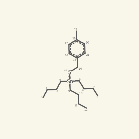 CCC[CH2][Sn]([CH2]CCC)([CH2]CCC)[S]Cc1ccc(C)cc1